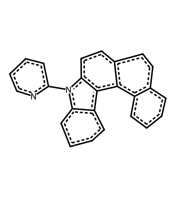 c1ccc(-n2c3ccccc3c3c4c(ccc5ccccc54)ccc32)nc1